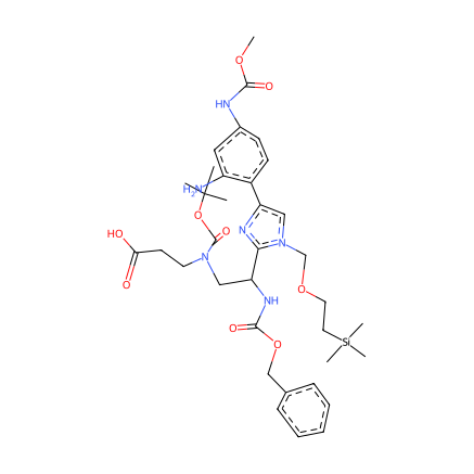 COC(=O)Nc1ccc(-c2cn(COCC[Si](C)(C)C)c(C(CN(CCC(=O)O)C(=O)OC(C)(C)C)NC(=O)OCc3ccccc3)n2)c(N)c1